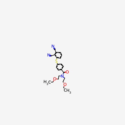 CCOCCN(CCOCC)C(=O)c1ccc(Sc2cccc(C#N)c2C#N)cc1